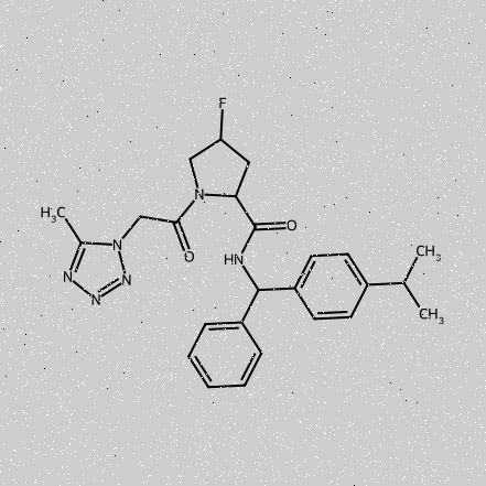 Cc1nnnn1CC(=O)N1CC(F)CC1C(=O)NC(c1ccccc1)c1ccc(C(C)C)cc1